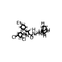 CCc1ccc(-c2c(C)c(C(=O)NCCNC3[C@H]4C[C@@H]5C[C@@H](C[C@H]3C5)C4)nn2-c2ccc(Cl)cc2Cl)cc1